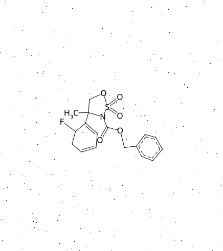 CC1(C2=CC=CCC2F)COS(=O)(=O)N1C(=O)OCc1ccccc1